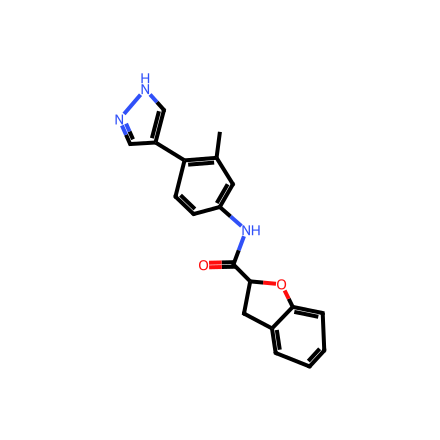 Cc1cc(NC(=O)C2Cc3ccccc3O2)ccc1-c1cn[nH]c1